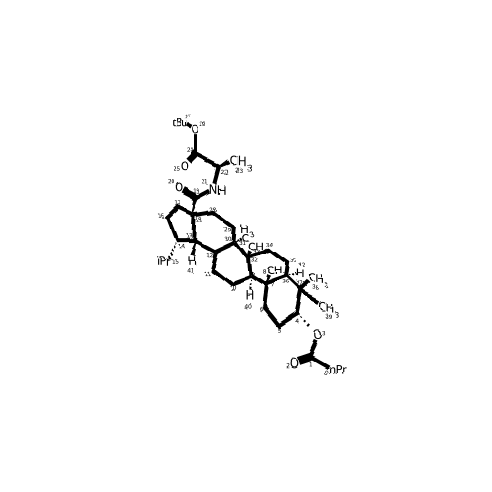 CCCC(=O)O[C@@H]1CC[C@]2(C)[C@H]3CCC4[C@@H]5[C@H](C(C)C)CC[C@]5(C(=O)N[C@H](C)C(=O)OC(C)(C)C)CC[C@@]4(C)[C@]3(C)CC[C@H]2C1(C)C